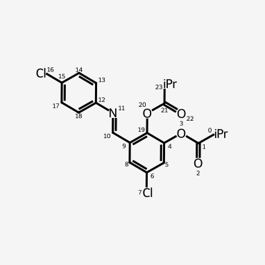 CC(C)C(=O)Oc1cc(Cl)cc(C=Nc2ccc(Cl)cc2)c1OC(=O)C(C)C